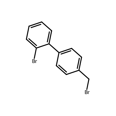 BrCc1ccc(-c2ccccc2Br)cc1